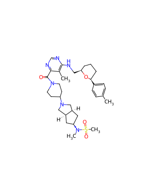 Cc1ccc([C@@H]2CCC[C@H](CNc3ncnc(C(=O)N4CCC(N5C[C@H]6C[C@@H](N(C)S(C)(=O)=O)C[C@H]6C5)CC4)c3C)O2)cc1